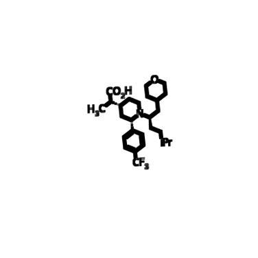 CC(C)CC[C@H](CC1CCOCC1)N1CC[C@@H](C(C)C(=O)O)C[C@H]1c1ccc(C(F)(F)F)cc1